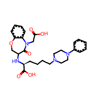 O=C(O)CN1C(=O)C(N[C@@H](CCCCN2CCN(c3ccccc3)CC2)C(=O)O)COc2ccccc21